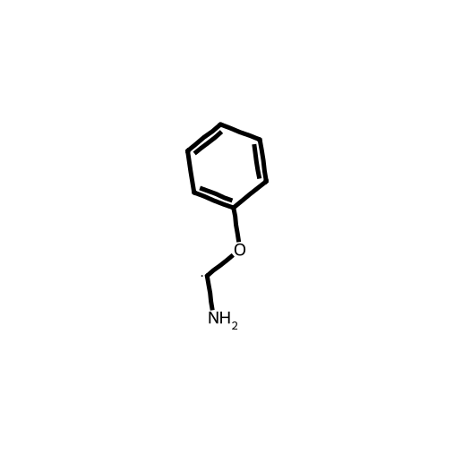 N[CH]Oc1ccccc1